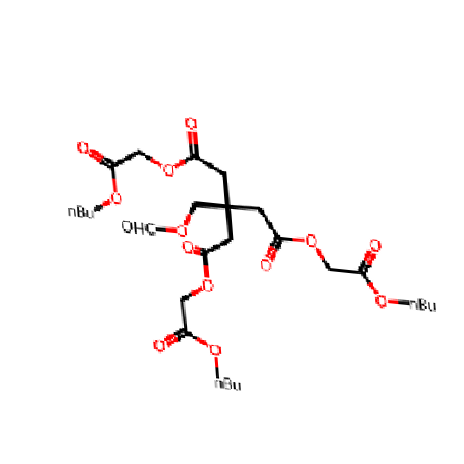 CCCCOC(=O)COC(=O)CC(COC=O)(CC(=O)OCC(=O)OCCCC)CC(=O)OCC(=O)OCCCC